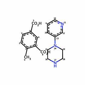 Cc1ccc(C(=O)O)cc1C(=O)O.c1cncc(N2CCNCC2)c1